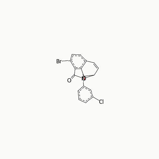 O=C1c2c3ccc(Br)c2C(=O)N(c2cccc(Cl)c2)C1C=C3